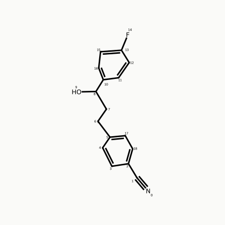 N#Cc1ccc([CH]CC(O)c2ccc(F)cc2)cc1